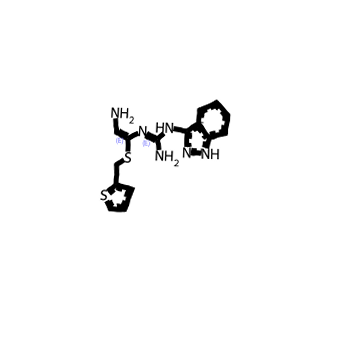 N/C=C(\N=C(/N)Nc1n[nH]c2ccccc12)SCc1cccs1